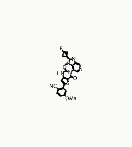 COc1ccc(C#N)c(-c2cc3[nH]c(=O)n(-c4cncc5nc(C67CC(F)(C6)C7)n(C)c45)c(=O)c3s2)c1